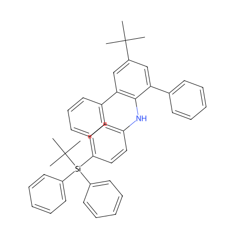 CC(C)(C)c1cc(-c2ccccc2)c(Nc2ccc([Si](c3ccccc3)(c3ccccc3)C(C)(C)C)cc2)c(-c2ccccc2)c1